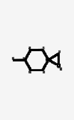 CC1CCC2(CC1)CO2